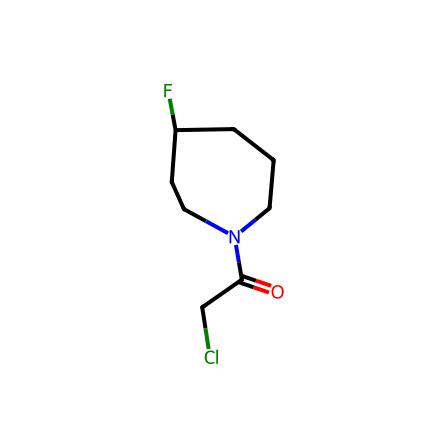 O=C(CCl)N1CCCC(F)CC1